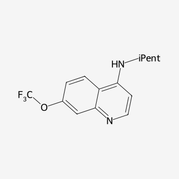 C[CH]CC(C)Nc1ccnc2cc(OC(F)(F)F)ccc12